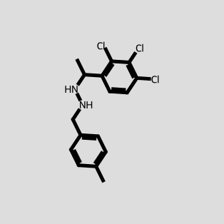 Cc1ccc(CNNC(C)c2ccc(Cl)c(Cl)c2Cl)cc1